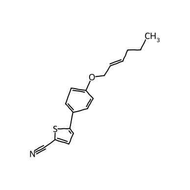 CCC/C=C/COc1ccc(-c2ccc(C#N)s2)cc1